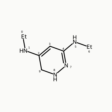 CCNC1=CC(NCC)=NNC1